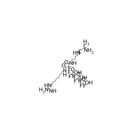 CC(N)CCNCCCCNC(=O)C(F)C(=O)NCCCCCCCCNC(=N)N.O=C(O)C(F)(F)F.O=C(O)C(F)(F)F.O=C(O)C(F)(F)F